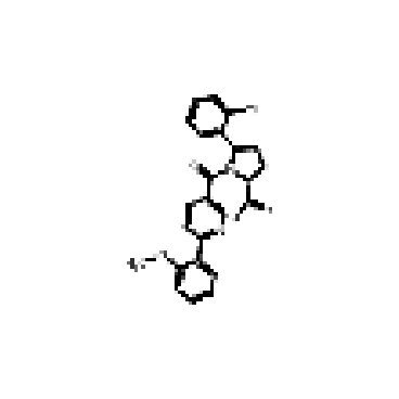 COc1ccccc1-c1ccc(C(=O)N2[C@@H](c3ccccc3Cl)CC[C@H]2C(=O)O)cn1